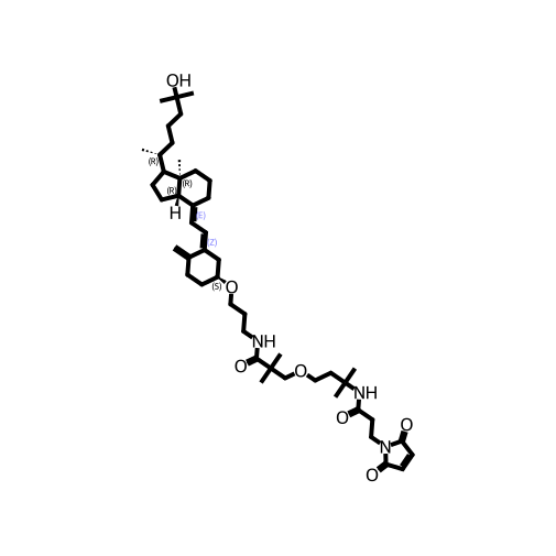 C=C1CC[C@H](OCCCNC(=O)C(C)(C)COCCC(C)(C)NC(=O)CCN2C(=O)C=CC2=O)C/C1=C/C=C1\CCC[C@]2(C)C([C@H](C)CCCC(C)(C)O)CC[C@@H]12